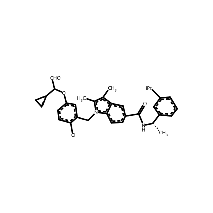 Cc1c(C)n(Cc2cc(OC(C=O)C3CC3)ccc2Cl)c2ccc(C(=O)N[C@@H](C)c3cccc(C(C)C)c3)cc12